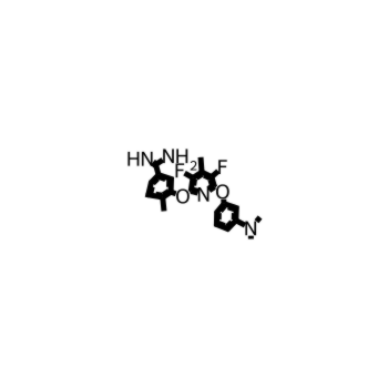 Cc1ccc(C(=N)N)cc1Oc1nc(Oc2cccc(N(C)C)c2)c(F)c(C)c1F